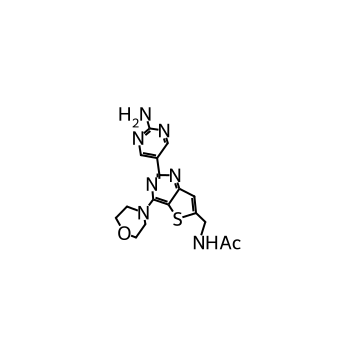 CC(=O)NCc1cc2nc(-c3cnc(N)nc3)nc(N3CCOCC3)c2s1